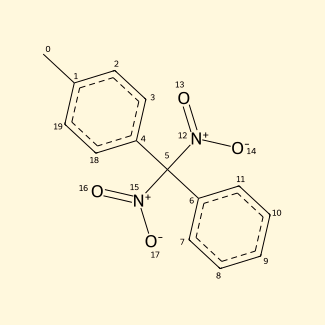 Cc1ccc(C(c2ccccc2)([N+](=O)[O-])[N+](=O)[O-])cc1